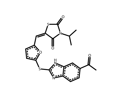 CC(=O)c1ccc2nc(Sc3ccc(C=C4SC(=O)N(C(C)C)C4=O)o3)[nH]c2c1